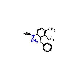 CCCCN(N)C1C=CC(C)=C(C)C1=Cc1ccccc1